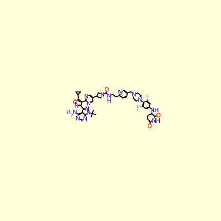 CC(C)(C)n1nc(-c2noc(C3CC3)c2-c2ncc(C3CN(C(=O)NCCc4ccc(CN5CCN(c6c(F)cc(NC7CCC(=O)NC7=O)cc6F)CC5)cn4)C3)cn2)c2c(N)ncnc21